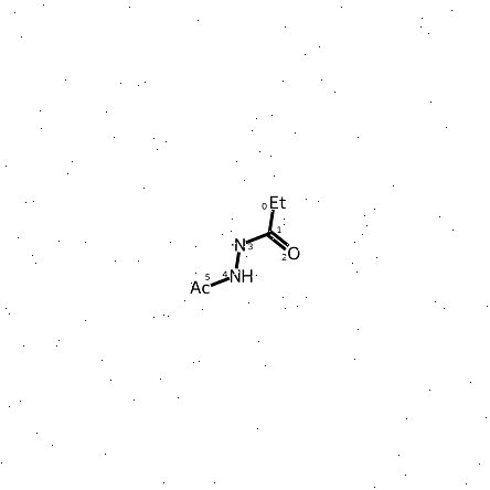 CCC(=O)[N]NC(C)=O